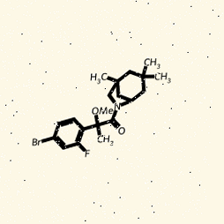 COC(C)(C(=O)N1CC2(C)CC1CC(C)(C)C2)c1ccc(Br)cc1F